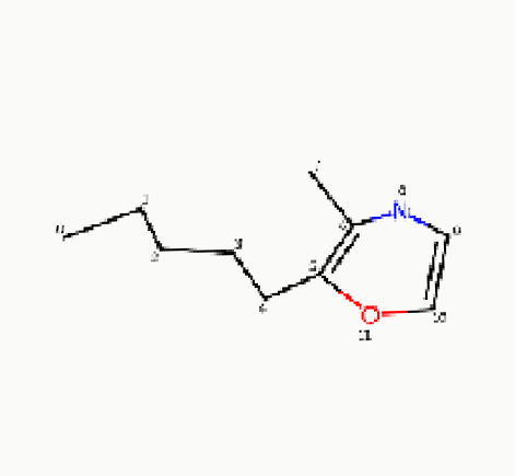 CCCCCC1=C(C)[N]C=CO1